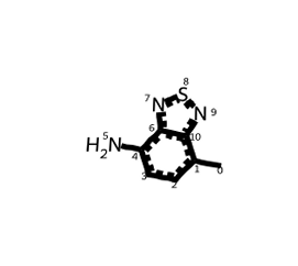 Cc1ccc(N)c2nsnc12